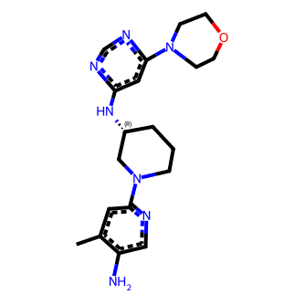 Cc1cc(N2CCC[C@@H](Nc3cc(N4CCOCC4)ncn3)C2)ncc1N